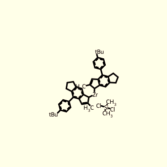 CC1=Cc2c(cc3c(c2-c2ccc(C(C)(C)C)cc2)CCC3)[CH]1[Zr][CH]1C(C)=Cc2c1cc1c(c2-c2ccc(C(C)(C)C)cc2)CCC1.C[Si](C)(Cl)Cl